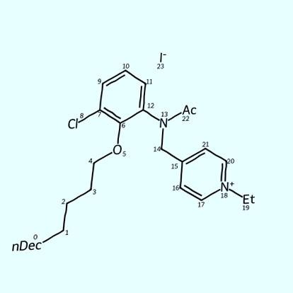 CCCCCCCCCCCCCCOc1c(Cl)cccc1N(Cc1cc[n+](CC)cc1)C(C)=O.[I-]